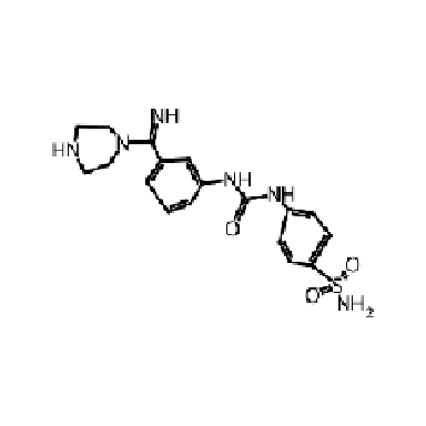 N=C(c1cccc(NC(=O)Nc2ccc(S(N)(=O)=O)cc2)c1)N1CCNCC1